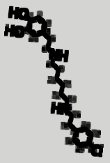 Oc1ccc(CCNCCCCCCNCCc2ccc(Cl)cc2)cc1O